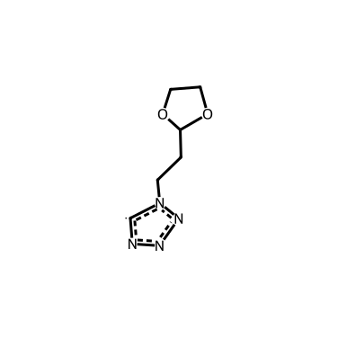 [c]1nnnn1CCC1OCCO1